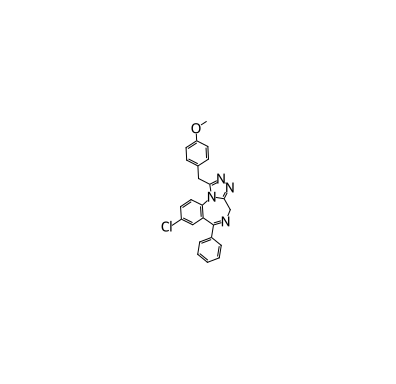 COc1ccc(Cc2nnc3n2-c2ccc(Cl)cc2C(c2ccccc2)=NC3)cc1